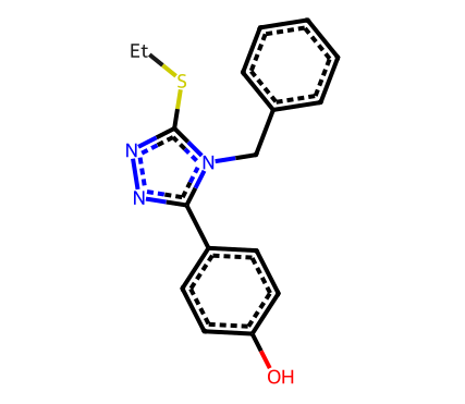 CCSc1nnc(-c2ccc(O)cc2)n1Cc1ccccc1